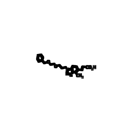 Cc1c(/C=C/C(=O)O)ccc2c1nnn2CCCOCCOCc1ccccc1